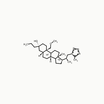 CCC[C@@]1(O)CC[C@@]2(COC)[C@H](CC[C@H]3[C@@H]4CC[C@H]([C@H](C)Cn5nnnc5C)[C@@]4(C)CC[C@@H]32)C1